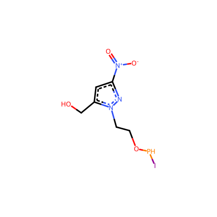 O=[N+]([O-])c1cc(CO)n(CCOPI)n1